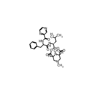 CC(C)C[C@H](NC(=O)C(Cc1ccccc1)NC(=O)c1cnccn1)B1OC(=O)[C@H]2CN(C)C[C@@H](C(=O)O1)N2C